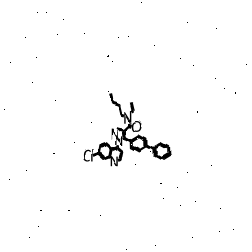 CCCCN(CC)C(=O)c1cnn(-c2ccnc3cc(Cl)ccc23)c1-c1ccc(-c2ccccc2)cc1